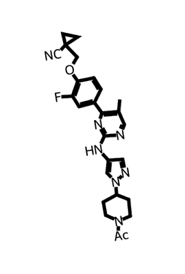 CC(=O)N1CCC(n2cc(Nc3ncc(C)c(-c4ccc(OCC5(C#N)CC5)c(F)c4)n3)cn2)CC1